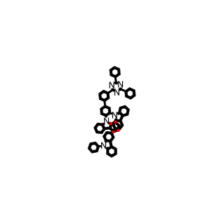 c1ccc(-c2nc(-c3ccccc3)nc(-c3cccc(-c4ccc(-n5c6ccccc6c6ccccc65)c(-n5c6ccccc6c6ccc(-c7ccc8c(c7)c7ccccc7n8-c7ccccc7)cc65)c4)c3)n2)cc1